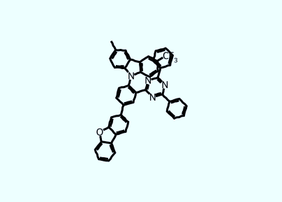 Cc1ccc2c(c1)c1cc(C(F)(F)F)ccc1n2-c1ccc(-c2ccc3c(c2)oc2ccccc23)cc1-c1nc(-c2ccccc2)nc(-c2ccccc2)n1